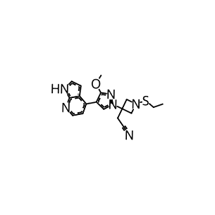 CCSN1CC(CC#N)(n2cc(-c3ccnc4[nH]ccc34)c(OC)n2)C1